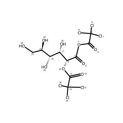 O=C(OC(=O)C(Cl)(Cl)Cl)[C@H](OC(=O)C(Cl)(Cl)Cl)[C@@H](O)[C@H](O)[C@H](O)CO